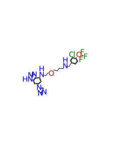 FC(F)(F)Oc1ccc(CNCCCCOCCNc2cc(-n3cnnc3)cc3[nH]nnc23)cc1Cl